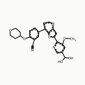 COc1cc(C(O)O)cnc1-c1cc2nccc(-c3ccc(OC4CCOCC4)c(C#N)c3)c2o1